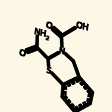 NC(=O)C1Sc2ccccc2CN1C(=O)O